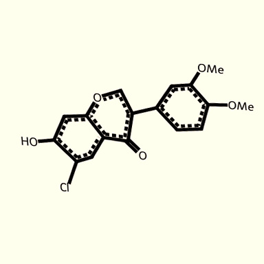 COc1ccc(-c2coc3cc(O)c(Cl)cc3c2=O)cc1OC